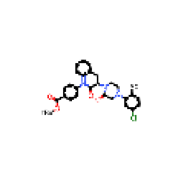 CC(=O)c1ccc(Cl)cc1N1CCN(C(Cc2ccccc2)C(=O)Nc2ccc(C(=O)OC(C)(C)C)cc2)C(=O)C1